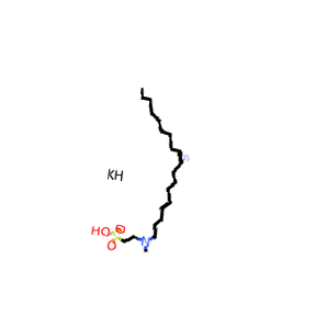 CCCCCCCC/C=C\CCCCCCCCN(C)CCS(=O)(=O)O.[KH]